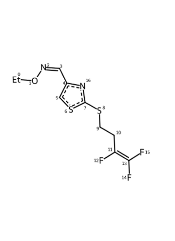 CCO/N=C\c1csc(SCCC(F)=C(F)F)n1